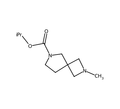 CC(C)OC(=O)N1CCC2(CN(C)C2)C1